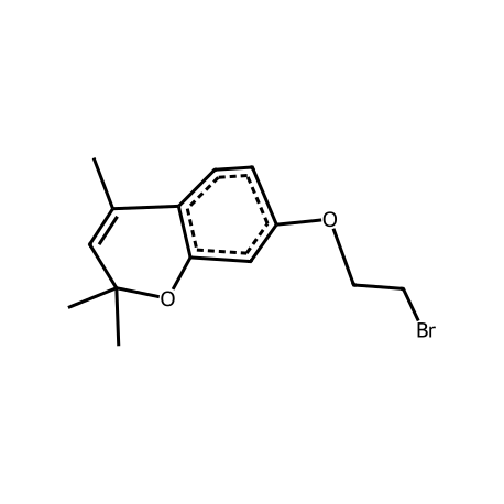 CC1=CC(C)(C)Oc2cc(OCCBr)ccc21